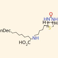 CCCCCCCCCCCCCCCCC(NCCCCC[C@@H]1SC[C@@H]2NC(=O)N[C@@H]21)C(=O)O